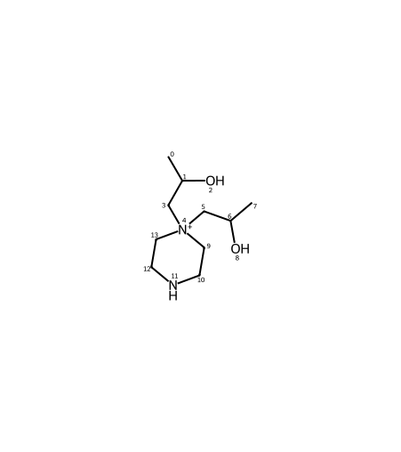 CC(O)C[N+]1(CC(C)O)CCNCC1